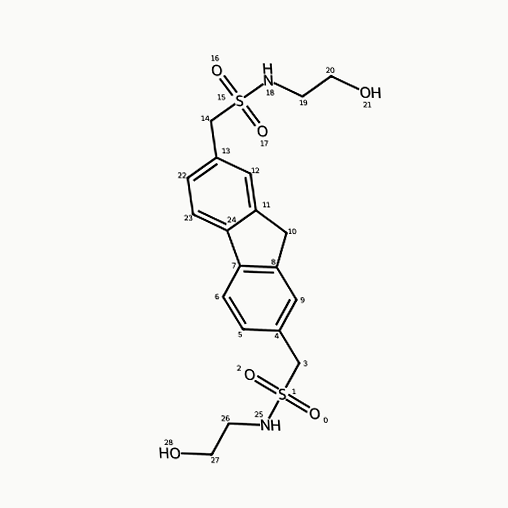 O=S(=O)(Cc1ccc2c(c1)Cc1cc(CS(=O)(=O)NCCO)ccc1-2)NCCO